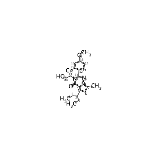 CCC(CC)c1cc(C)n2nc(-c3ccc(OC)cc3Cl)n(CCO)c(=O)c12